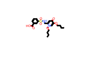 CCCCOc1cn(OCCCC)c(CNS(=O)(=O)c2cccc(C(=O)O)c2)cc1=O